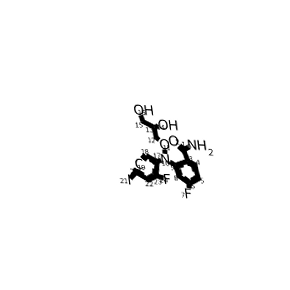 NC(=O)c1ccc(F)cc1N(OCC(O)CO)c1ccc(I)cc1F